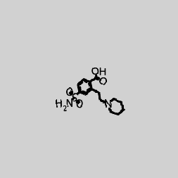 NS(=O)(=O)c1ccc(C(=O)O)c(CCN2CCCCC2)c1